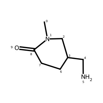 CN1CC(CN)CCC1=O